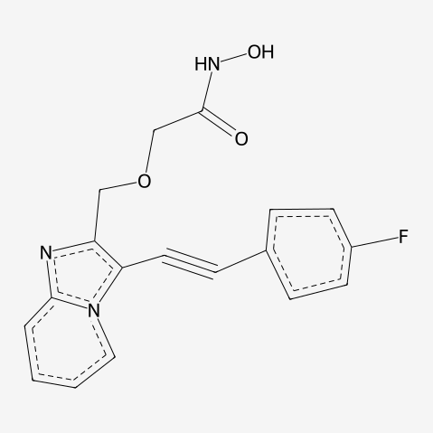 O=C(COCc1nc2ccccn2c1C#Cc1ccc(F)cc1)NO